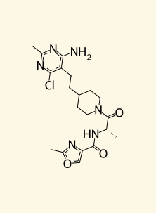 Cc1nc(N)c(CCC2CCN(C(=O)[C@H](C)NC(=O)c3coc(C)n3)CC2)c(Cl)n1